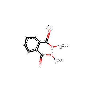 CCCCCCCCOC(=O)c1ccccc1C(=O)OCCCCCCCC.[Cu]